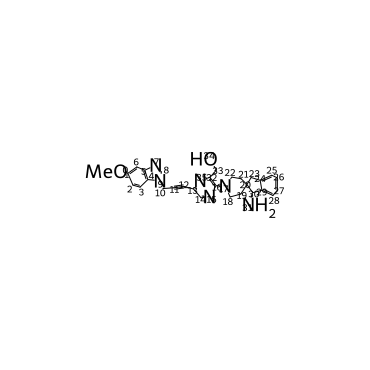 COc1ccc2c(c1)ncn2CC#Cc1cnc(N2CCC3(CC2)Cc2ccccc2[C@H]3N)c(CO)n1